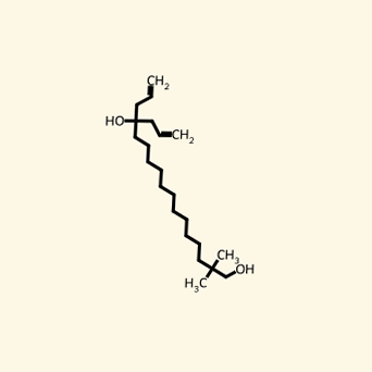 C=CCC(O)(CC=C)CCCCCCCCCCCC(C)(C)CO